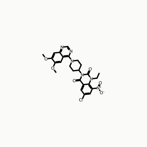 CCn1c(=O)n(C2CCN(c3ncnc4cc(OC)c(OC)cc34)CC2)c(=O)c2cc(Cl)cc([N+](=O)[O-])c21